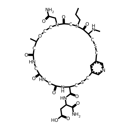 CCCN1CC(=O)N(CC(N)=O)CCOC(C)CC(=O)NCC(=O)NCC(=O)NC(C(=O)NC(CC(=O)O)C(N)=O)CSCc2cncc(c2)CSCC(NC)C1=O